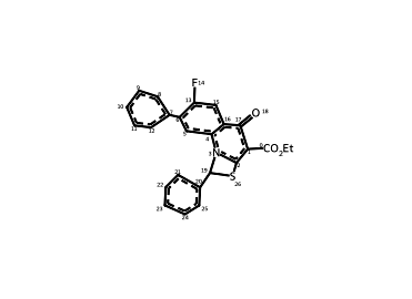 CCOC(=O)c1c2n(c3cc(-c4ccccc4)c(F)cc3c1=O)C(c1ccccc1)S2